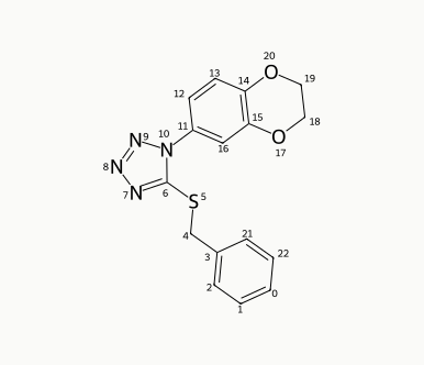 c1ccc(CSc2nnnn2-c2ccc3c(c2)OCCO3)cc1